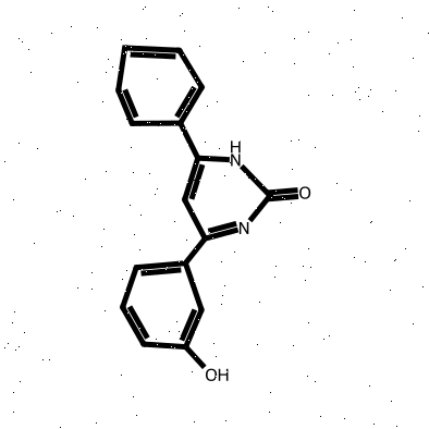 O=c1nc(-c2cccc(O)c2)cc(-c2ccccc2)[nH]1